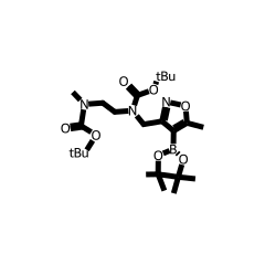 Cc1onc(CN(CCN(C)C(=O)OC(C)(C)C)C(=O)OC(C)(C)C)c1B1OC(C)(C)C(C)(C)O1